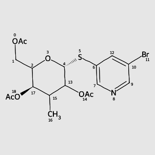 CC(=O)OCC1O[C@H](Sc2cncc(Br)c2)C(OC(C)=O)C(C)[C@H]1OC(C)=O